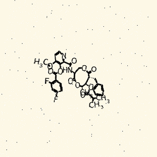 COc1ccnc(C(=O)N[C@H]2COC(=O)[C@H](Cc3ccccc3)[C@@H](OC(=O)C(C)C)[C@H](C)OC2=O)c1OC(=O)c1ccc(F)cc1F